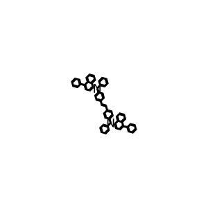 C(=C\c1ccc(N(c2ccccc2)c2ccc(-c3ccccc3)c3ccccc23)cc1)/c1ccc(N(c2ccccc2)c2ccc(-c3ccccc3)c3ccccc23)cc1